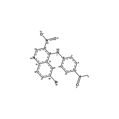 CC(=O)c1ccc(Nc2c([N+](=O)[O-])cnc3ccc(Br)cc23)cc1